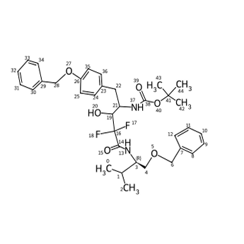 CC(C)[C@H](COCc1ccccc1)NC(=O)C(F)(F)C(O)C(Cc1ccc(OCc2ccccc2)cc1)NC(=O)OC(C)(C)C